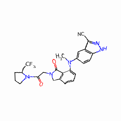 CN(c1ccc2[nH]nc(C#N)c2c1)c1cccc2c1C(=O)N(CC(=O)N1CCCC1C(F)(F)F)C2